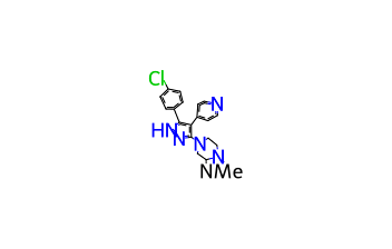 CNC1CN(c2n[nH]c(-c3ccc(Cl)cc3)c2-c2ccncc2)CCN1C